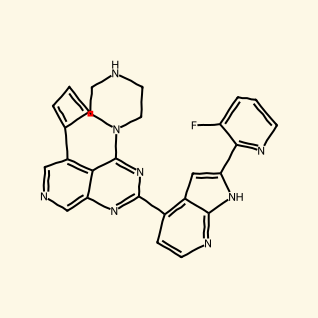 Fc1cccnc1-c1cc2c(-c3nc(N4CCNCC4)c4c(C5=CC=C5)cncc4n3)ccnc2[nH]1